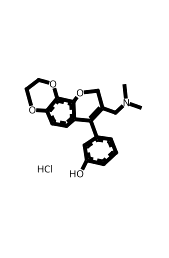 CN(C)CC1=C(c2cccc(O)c2)c2ccc3c(c2OC1)OCCO3.Cl